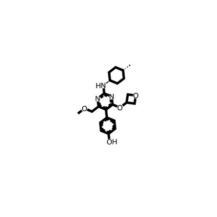 COCc1nc(N[C@H]2CC[C@@H](C)CC2)nc(OC2COC2)c1-c1ccc(O)cc1